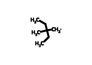 [CH2]C(C)(CC)CC